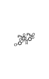 CC(C)n1c(=O)nc(Nc2ccc3oc(=O)n(C(C)C)c3c2)n(Cc2ccc(Cl)cc2)c1=O